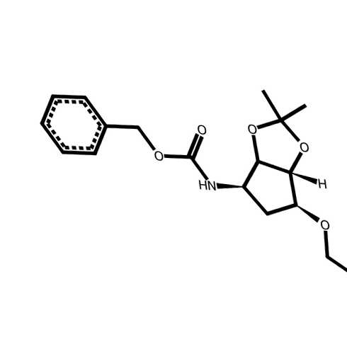 C=CCO[C@H]1C[C@@H](NC(=O)OCc2ccccc2)C2OC(C)(C)O[C@@H]21